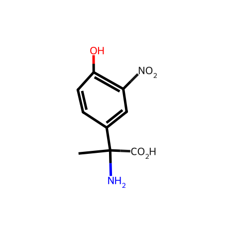 CC(N)(C(=O)O)c1ccc(O)c([N+](=O)[O-])c1